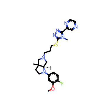 COc1cc(N2CCC3(C)CN(CCCSc4nnc(-c5cnccn5)n4C)C[C@@H]23)ccc1F